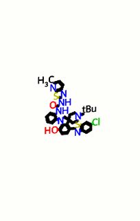 Cc1ccc2nc(NC(=O)Nc3ccccc3N3CC4(CCN(CC(C)(C)C)CC4)c4c(-c5nc6ccc(Cl)cc6s5)ccc(O)c43)sc2n1